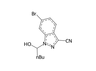 CCCCC(O)n1nc(C#N)c2ccc(Br)cc21